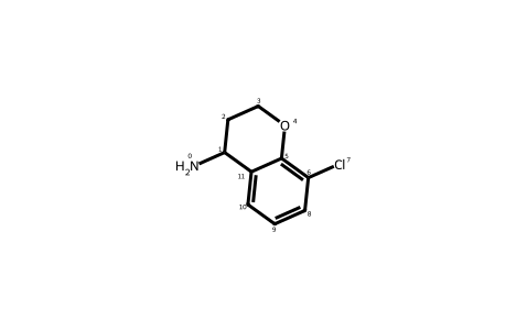 NC1CCOc2c(Cl)cccc21